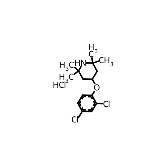 CC1(C)CC(Oc2ccc(Cl)cc2Cl)CC(C)(C)N1.Cl